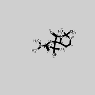 CN(C)C(=S)SC1(C(C)(C)O)C(=O)N2C1CCOC2(C)C